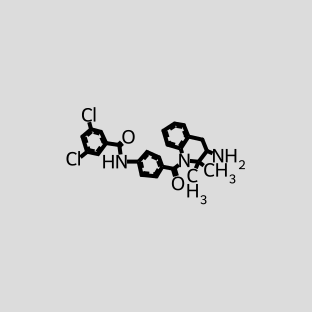 CC1(C)C(N)Cc2ccccc2N1C(=O)c1ccc(NC(=O)c2cc(Cl)cc(Cl)c2)cc1